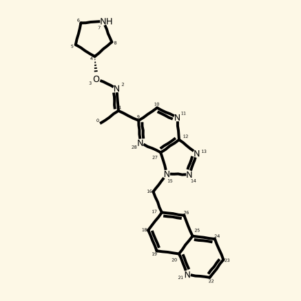 C/C(=N\O[C@@H]1CCNC1)c1cnc2nnn(Cc3ccc4ncccc4c3)c2n1